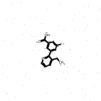 CCc1cccnc1-c1cc(F)cc(C(=O)O)c1